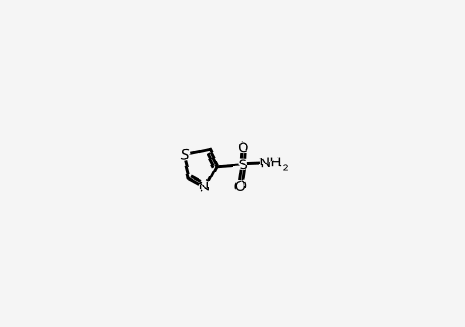 NS(=O)(=O)c1cscn1